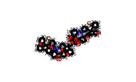 CC1(C)c2ccccc2-c2c(N(c3ccc4c(c3)C3(c5ccccc5S4)c4ccccc4-c4ccccc43)c3cccc4oc5c(CC6(C)c7ccccc7-c7cc(N(c8ccc9c(c8)C8(c%10ccccc%10S9)c9ccccc9-c9ccccc98)c8cccc9oc%10ccccc%10c89)ccc76)cccc5c34)cccc21